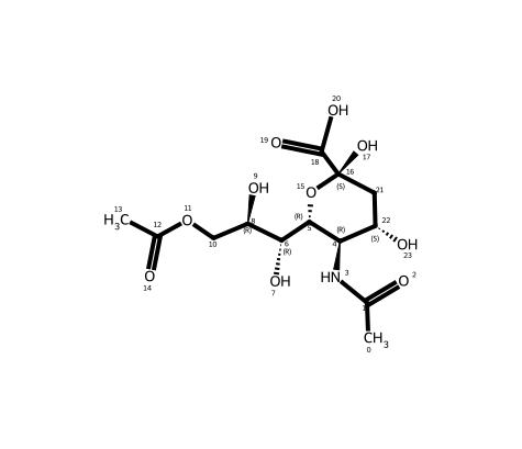 CC(=O)N[C@H]1[C@H]([C@H](O)[C@H](O)COC(C)=O)O[C@](O)(C(=O)O)C[C@@H]1O